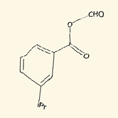 CC(C)c1cccc(C(=O)OC=O)c1